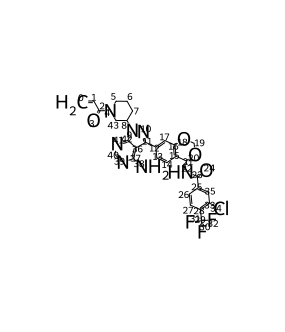 C=CC(=O)N1CCCC(n2nc(-c3ccc4c(c3)OCO[C@H]4NC(=O)c3ccc(C(F)(F)F)c(Cl)c3)c3c(N)ncnc32)C1